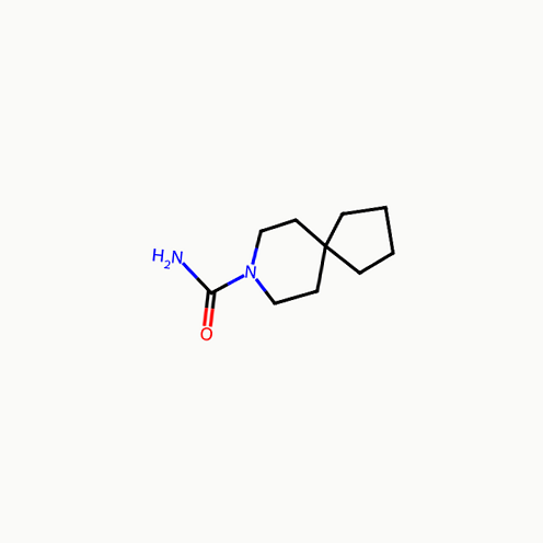 NC(=O)N1CCC2(CCCC2)CC1